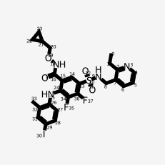 CCc1ncccc1CNS(=O)(=O)c1cc(C(=O)NOCC2CC2)c(Nc2ccc(I)cc2C)c(F)c1F